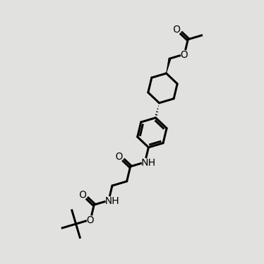 CC(=O)OC[C@H]1CC[C@H](c2ccc(NC(=O)CCNC(=O)OC(C)(C)C)cc2)CC1